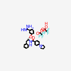 N=C(N)c1cccc(OC[C@@H](Cc2ccccc2)NC(=O)c2ccc(N3CCCC3)cc2)c1.O=C(O)C(F)(F)F.O=C(O)C(F)(F)F